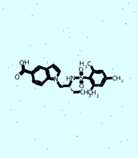 CC[C@H](Cn1ccc2cc(C(=O)O)ccc21)NS(=O)(=O)c1c(C)cc(C)cc1C